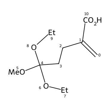 C=C(CCC(OC)(OCC)OCC)C(=O)O